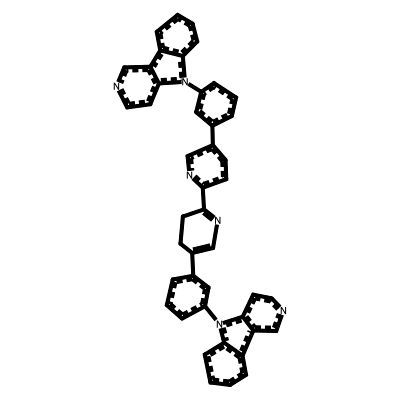 C1=C(c2cccc(-n3c4ccccc4c4cnccc43)c2)CCC(c2ccc(-c3cccc(-n4c5ccccc5c5cnccc54)c3)cn2)=N1